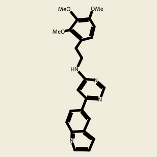 COc1ccc(CCNc2cc(-c3ccc4ncccc4c3)ncn2)c(OC)c1OC